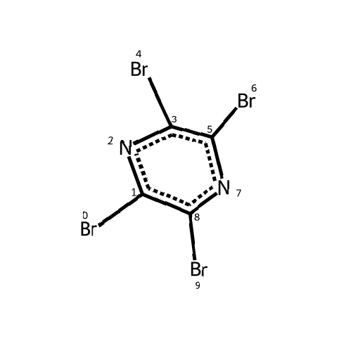 Brc1nc(Br)c(Br)nc1Br